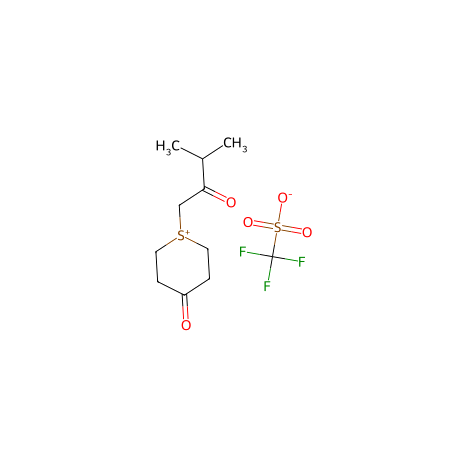 CC(C)C(=O)C[S+]1CCC(=O)CC1.O=S(=O)([O-])C(F)(F)F